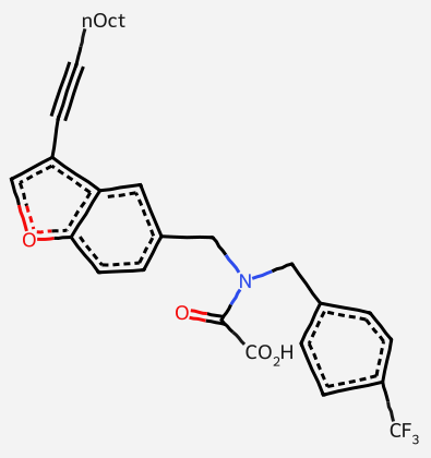 CCCCCCCCC#Cc1coc2ccc(CN(Cc3ccc(C(F)(F)F)cc3)C(=O)C(=O)O)cc12